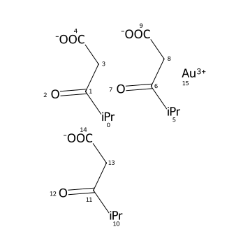 CC(C)C(=O)CC(=O)[O-].CC(C)C(=O)CC(=O)[O-].CC(C)C(=O)CC(=O)[O-].[Au+3]